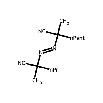 CCCCCC(C)(C#N)N=NC(C)(C#N)CCC